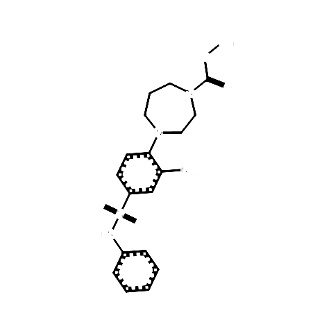 CC(C)(C)OC(=O)N1CCCN(c2ccc(S(=O)(=O)Nc3ccccc3)cc2[N+](=O)[O-])CC1